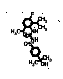 CC(C)c1ccc(F)c(C(C)C)c1NC(=O)N[S+]([O-])c1ccc(C(C)(C)O)cc1